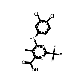 Cc1c(Nc2ccc(Cl)c(Cl)c2)nc(C(F)(F)F)nc1C(=O)O